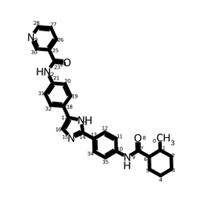 CC1CCCCC1C(=O)Nc1ccc(-c2ncc(-c3ccc(NC(=O)c4cccnc4)cc3)[nH]2)cc1